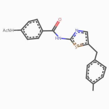 CC(=O)Nc1ccc(C(=O)Nc2ncc(Cc3ccc(C)cc3)s2)cc1